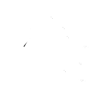 COc1ncc(-c2cc(C3[C@@H](c4ccc(F)c(F)c4)C3(F)F)c3nccn3n2)c(OC)n1